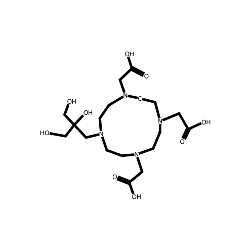 O=C(O)CN1CCN(CC(=O)O)CCN(CC(O)(CO)CO)CCN(CC(=O)O)CC1